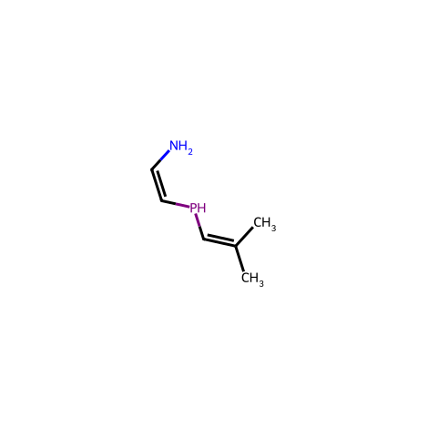 CC(C)=CP/C=C\N